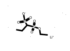 CCOS(=O)(=O)C(CC)S(=O)(=O)[O-].[Li+]